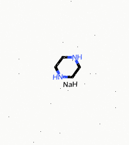 C1CNCCN1.[NaH]